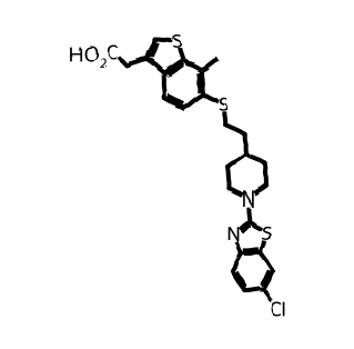 Cc1c(SCCC2CCN(c3nc4ccc(Cl)cc4s3)CC2)ccc2c(CC(=O)O)csc12